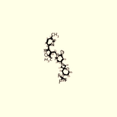 Cc1ccc(-c2noc(C)c2Cn2ncc(N3CC4(C[C@@H](C(F)(F)F)CCO4)C3)cc2=O)nn1